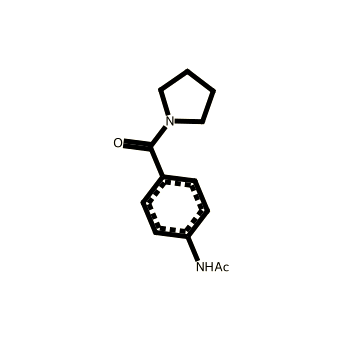 CC(=O)Nc1ccc(C(=O)N2CCCC2)cc1